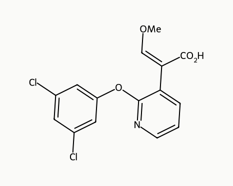 COC=C(C(=O)O)c1cccnc1Oc1cc(Cl)cc(Cl)c1